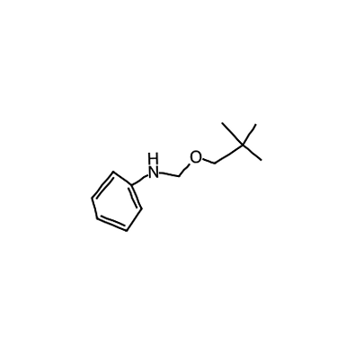 CC(C)(C)COCNc1ccccc1